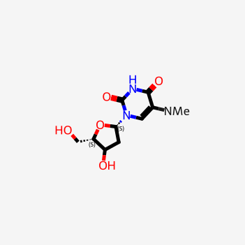 CNc1cn([C@@H]2CC(O)[C@H](CO)O2)c(=O)[nH]c1=O